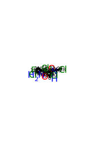 Cc1cc(C2(C(N)=O)C(c3ccc(F)c(Cl)c3)C2(Cl)Cl)cc(C(=O)NCCCCl)c1Cl